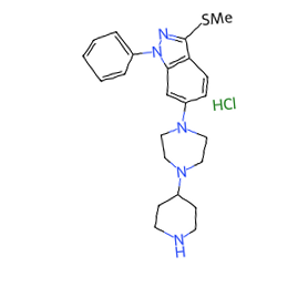 CSc1nn(-c2ccccc2)c2cc(N3CCN(C4CCNCC4)CC3)ccc12.Cl